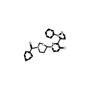 O=C(c1ccccc1)N1CCC(n2ccc(=O)c(-c3ccnn3-c3ccccc3)n2)CC1